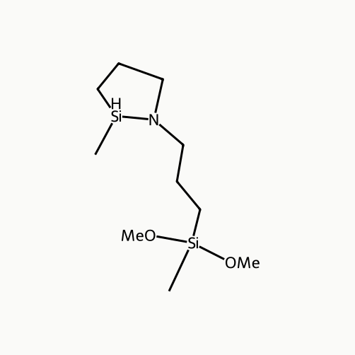 CO[Si](C)(CCCN1CCC[SiH]1C)OC